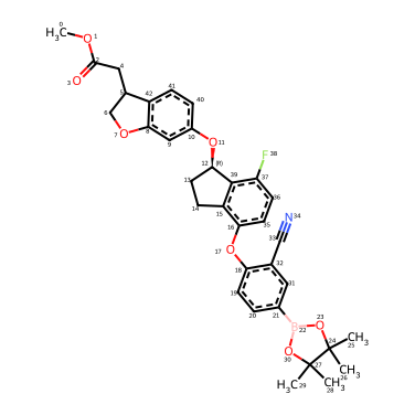 COC(=O)CC1COc2cc(O[C@@H]3CCc4c(Oc5ccc(B6OC(C)(C)C(C)(C)O6)cc5C#N)ccc(F)c43)ccc21